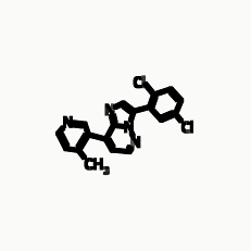 Cc1ccncc1-c1ccnn2c(-c3cc(Cl)ccc3Cl)cnc12